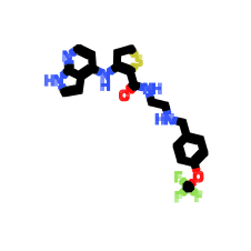 O=C(NCCNCc1ccc(OC(F)(F)F)cc1)C1=C(Nc2ccnc3[nH]ccc23)CCS1